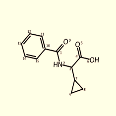 O=C(NC(C(=O)O)C1CC1)c1ccccc1